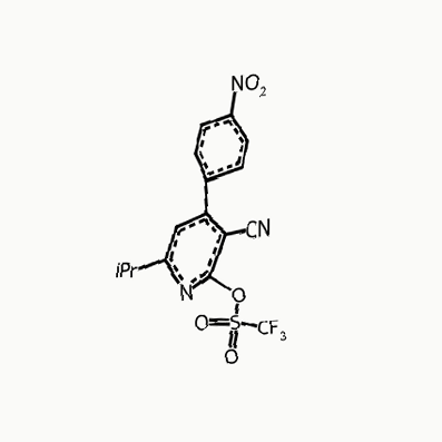 CC(C)c1cc(-c2ccc([N+](=O)[O-])cc2)c(C#N)c(OS(=O)(=O)C(F)(F)F)n1